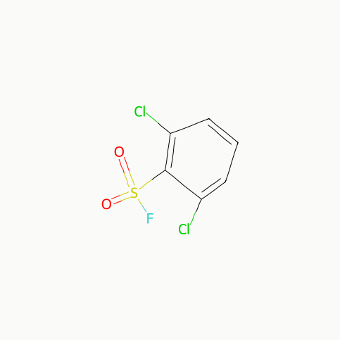 O=S(=O)(F)c1c(Cl)cccc1Cl